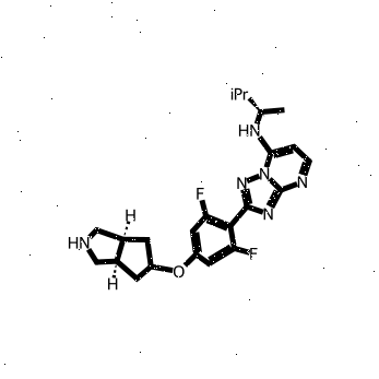 CC(C)[C@@H](C)Nc1ccnc2nc(-c3c(F)cc(OC4C[C@H]5CNC[C@H]5C4)cc3F)nn12